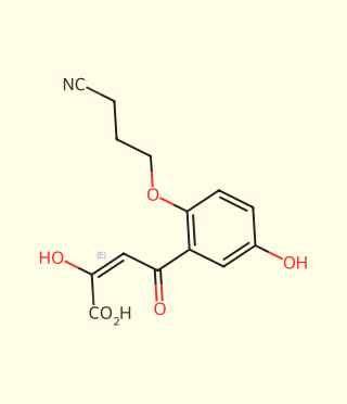 N#CCCCOc1ccc(O)cc1C(=O)/C=C(/O)C(=O)O